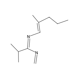 C=N/C(=N\C=C(/C)CCC)C(C)C